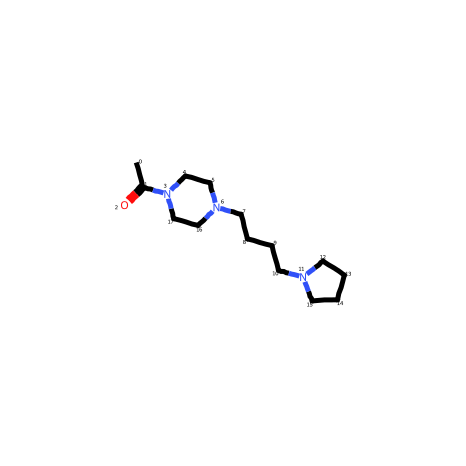 CC(=O)N1CCN(CCCCN2CCCC2)CC1